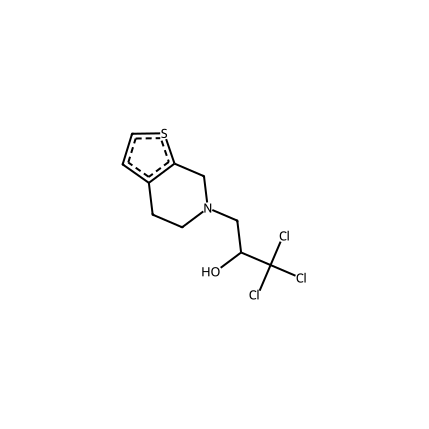 OC(CN1CCc2ccsc2C1)C(Cl)(Cl)Cl